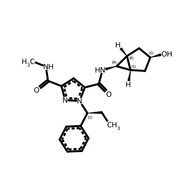 CC[C@@H](c1ccccc1)n1nc(C(=O)NC)cc1C(=O)N[C@H]1[C@@H]2C[C@@H](O)C[C@@H]21